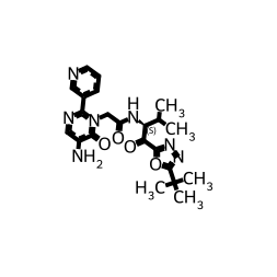 CC(C)[C@H](NC(=O)Cn1c(-c2cccnc2)ncc(N)c1=O)C(=O)c1nnc(C(C)(C)C)o1